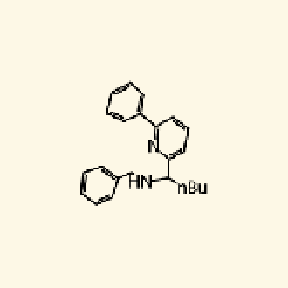 CCCCC(NCc1ccccc1)c1cccc(-c2ccccc2)n1